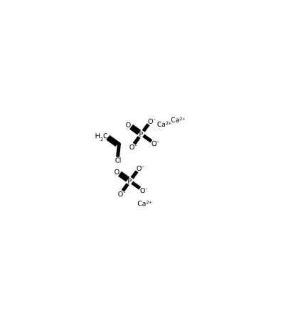 C=CCl.O=P([O-])([O-])[O-].O=P([O-])([O-])[O-].[Ca+2].[Ca+2].[Ca+2]